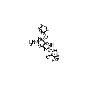 Nc1nc(Oc2ccccn2)c2[nH]c(NC(=O)C(F)(F)F)nc2n1